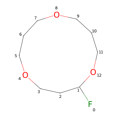 FC1CCOCCCOCCCO1